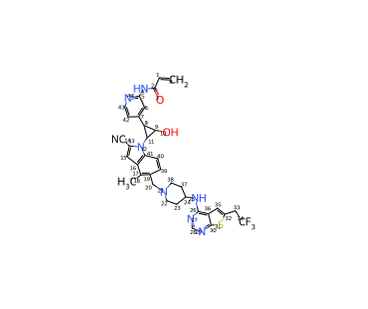 C=CC(=O)Nc1cc(C2C(O)C2n2c(C#N)cc3c(C)c(CN4CCC(Nc5ncnc6sc(CC(F)(F)F)cc56)CC4)ccc32)ccn1